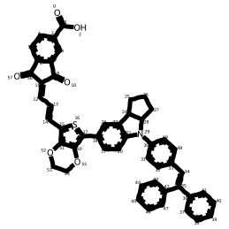 O=C(O)c1ccc2c(c1)C(=O)/C(=C\C=C\c1sc(-c3ccc4c(c3)C3CCCC3N4c3ccc(C=C(c4ccccc4)c4ccccc4)cc3)c3c1OCCO3)C2=O